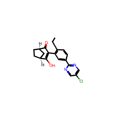 CCc1ccc(-c2ncc(Cl)cn2)cc1C1=C(O)[C@H]2CC[C@H](C2)C1=O